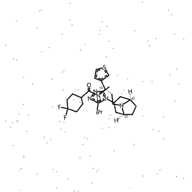 Cc1nnc(C(C)C)n1C1C[C@H]2CC[C@@H](C1)N2CC[C@H](NC(=O)C1CCC(F)(F)CC1)c1ccsc1